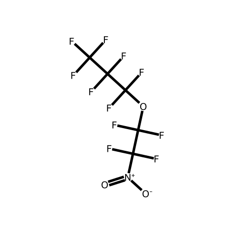 O=[N+]([O-])C(F)(F)C(F)(F)OC(F)(F)C(F)(F)C(F)(F)F